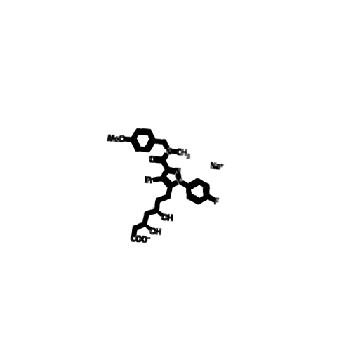 COc1ccc(CN(C)C(=O)c2nn(-c3ccc(F)cc3)c(CC[C@@H](O)C[C@@H](O)CC(=O)[O-])c2C(C)C)cc1.[Na+]